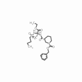 CCCCS(=O)(=O)N[C@@](C)(NC(=O)[C@@H]1CCCN(C(=O)OCc2ccccc2)C1)C(=O)OCC